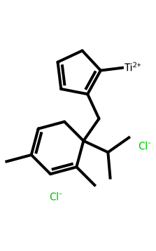 CC1=CCC(CC2=[C]([Ti+2])CC=C2)(C(C)C)C(C)=C1.[Cl-].[Cl-]